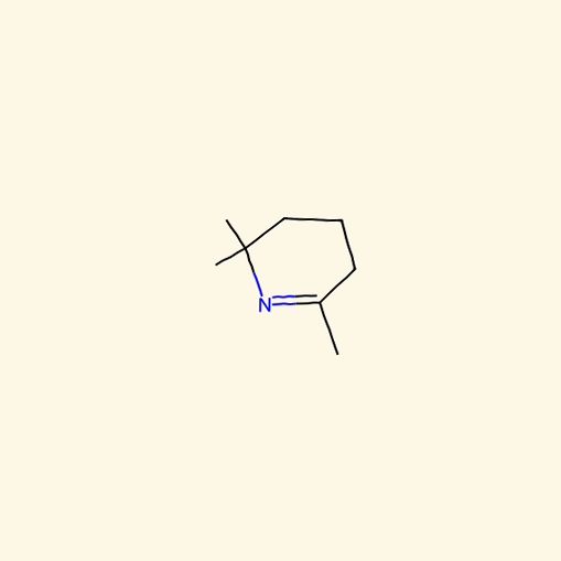 CC1=NC(C)(C)CCC1